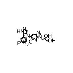 Cc1nc2c(cc1-n1c3ccc(F)cc3c3[nH]ncc31)ncn2CC(O)CO